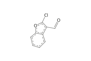 O=Cc1c(Cl)oc2ccccc12